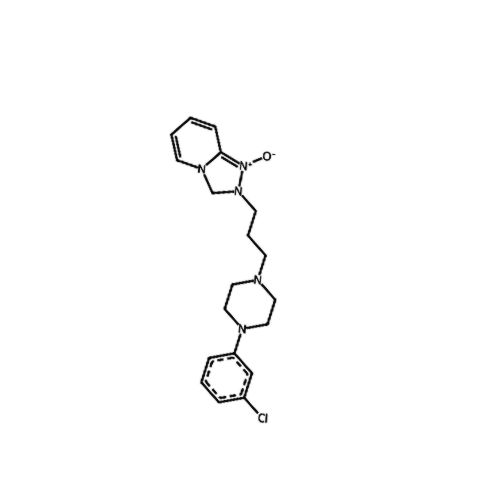 [O-][N+]1=C2C=CC=CN2CN1CCCN1CCN(c2cccc(Cl)c2)CC1